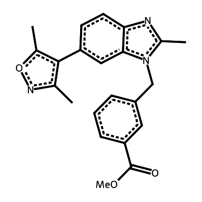 COC(=O)c1cccc(Cn2c(C)nc3ccc(-c4c(C)noc4C)cc32)c1